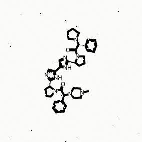 CN1CCN(C(C(=O)N2CCC[C@H]2c2ncc(-c3cnc([C@@H]4CCCN4C(=O)[C@@H](c4ccccc4)N4CCCC4)[nH]3)[nH]2)c2ccccc2)CC1